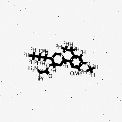 [2H]c1c(OC([2H])([2H])[2H])c(OC)cc2c1C([2H])([2H])C([2H])([2H])N1CC(C([2H])([2H])C([2H])(C)C([2H])([2H])[2H])C([2H])(OC(=O)[C@@H](N)C(C)C)CC21[2H]